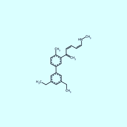 C=C(/C=C\C=C/NC)c1cc(-c2cc(CC)cc(CC)c2)ccc1C